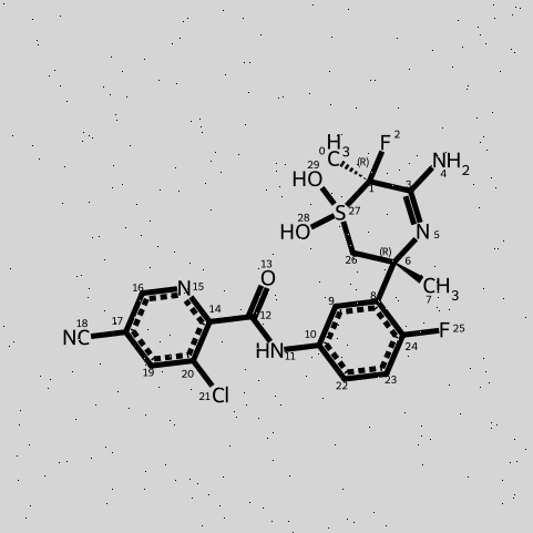 C[C@]1(F)C(N)=N[C@](C)(c2cc(NC(=O)c3ncc(C#N)cc3Cl)ccc2F)CS1(O)O